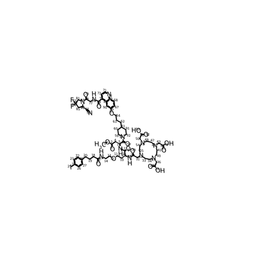 COC(=O)C[C@H](NC(=O)[C@H](CCOCCNC(=O)CCCc1ccc(I)cc1)NC(=O)CN1CCN(CC(=O)O)CCN(CC(=O)O)CCN(CC(=O)O)CC1)C(=O)N1CCC(CCCOc2ccc3nccc(C(=O)NCC(=O)N4CC(F)(F)C[C@@H]4C#N)c3c2)CC1